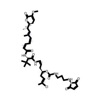 COC1=CC[C@@H]([C@@H](C)/C=C(C)/C=C\C=C/C(=O)N[C@H](C(=O)N/C=C\C[C@H](C/C=C(\C)Cl)OC(=O)NCCCNN2C(=O)C=CC2=O)C(C)(C)C)OC1=O